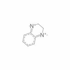 c1ccc2c(c1)=[N+]CC[N+]=2